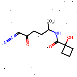 [N-]=[N+]=CC(=O)CCC(NC(=O)C1(O)CCC1)C(=O)O